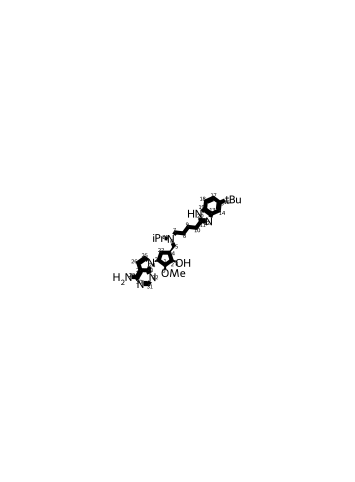 CO[C@@H]1[C@H](O)[C@H](CN(CCCCc2nc3cc(C(C)(C)C)ccc3[nH]2)C(C)C)C[C@H]1n1ccc2c(N)ncnc21